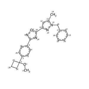 COC1(c2ccc(-c3noc(-c4cc(C)n(Cc5c[c]ccc5)n4)n3)cc2)CCC1